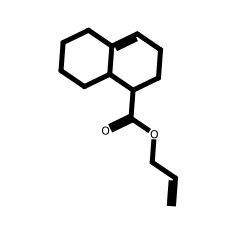 C=CCOC(=O)C1CCC=C2CCCCC21